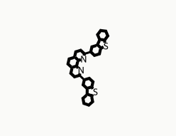 c1ccc2c(c1)sc1ccc(-c3ccc4ccc5ccc(-c6ccc7sc8ccccc8c7c6)nc5c4n3)cc12